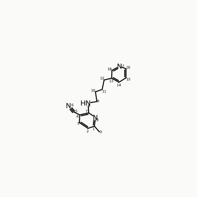 Cc1ccc(C#N)c(NCCCCc2cccnc2)n1